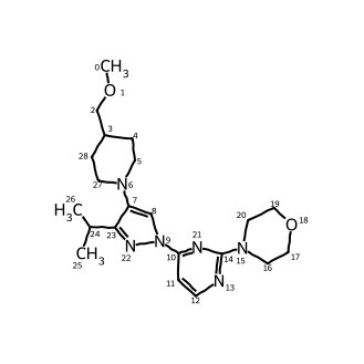 COCC1CCN(c2cn(-c3ccnc(N4CCOCC4)n3)nc2C(C)C)CC1